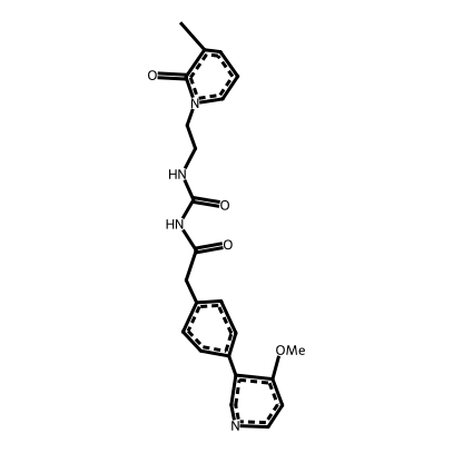 COc1ccncc1-c1ccc(CC(=O)NC(=O)NCCn2cccc(C)c2=O)cc1